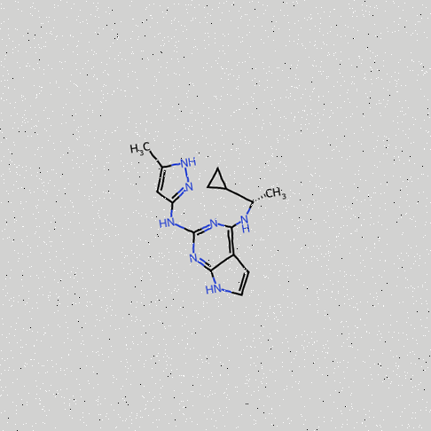 Cc1cc(Nc2nc(N[C@@H](C)C3CC3)c3cc[nH]c3n2)n[nH]1